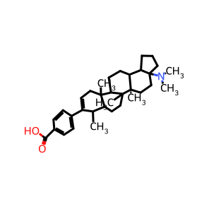 CC1C(c2ccc(C(=O)O)cc2)=CCC2(C)C1CCC1(C)C2CCC2C3CCCC3(N(C)C)CC[C@]21C